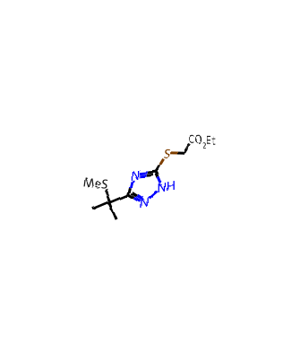 CCOC(=O)CSc1nc(C(C)(C)SC)n[nH]1